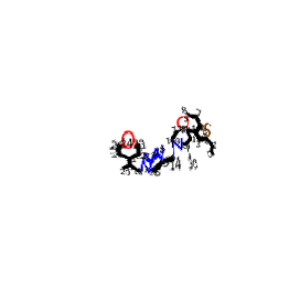 CCc1cc2c(s1)CCO[C@@]21CCN(Cc2cn(CC(C)C3CCOCC3)nn2)[C@@H](C)C1